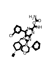 C#C[C@H]1CC[C@H](Cn2c(N3CCOC[C@H]3c3ccccc3)nc3nc(C(=N)OC(N)=O)nc(-c4cccc(Cl)c4)c32)CC1